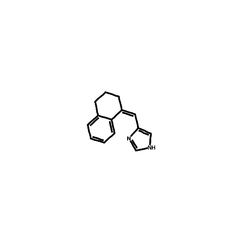 C(=C1\CCCc2ccccc21)/c1c[nH]cn1